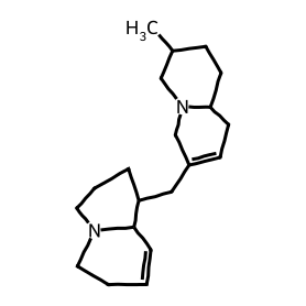 CC1CCC2CC=C(CC3CCCN4CCC=CC34)CN2C1